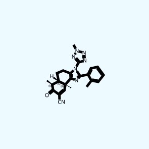 Cc1ccccc1-c1nc2c(n1-c1nnn(C)n1)CC[C@H]1[C@H](C)C(=O)C(C#N)=C[C@]21C